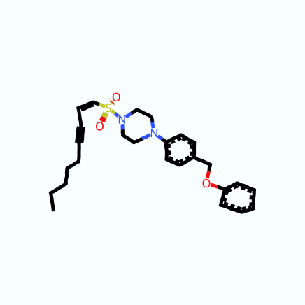 CCCCCC#C/C=C\S(=O)(=O)N1CCN(c2ccc(COc3ccccc3)cc2)CC1